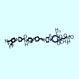 CC1/C=C(F)\C(N2CCN(CCC3CCN(c4ccc(NC(=O)C5CCN(c6ccc(C#N)c(C(F)(F)F)c6)CC5)nc4)CC3)CC2)=C/CC(=O)N(C(C)CCC(=O)NC=O)C1=O